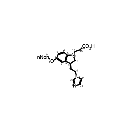 CCCCCCCCCOc1ccc2c(c1)C(CCn1ccnc1)CN2CCC(=O)O